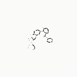 Cc1cccc(C(=O)c2ccc(Cl)cc2)c1-c1ccc2nc(N)c(N3CCOCC3)cc2c1